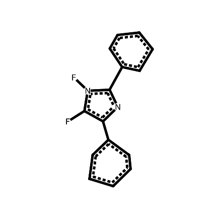 Fc1c(-c2ccccc2)nc(-c2ccccc2)n1F